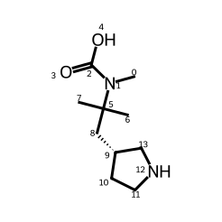 CN(C(=O)O)C(C)(C)C[C@H]1CCNC1